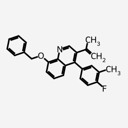 C=C(C)c1cnc2c(OCc3ccccc3)cccc2c1-c1ccc(F)c(C)c1